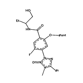 CCCC(C)Oc1cc(-n2nc(C(C)C)n(C)c2=O)c(F)cc1C(=O)NC(CC)CO